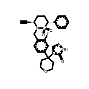 C#C[C@H]1CC[C@H](c2ccccc2)S(=O)(=O)N1Cc1ccc(C2(n3cn[nH]c3=O)CCOCC2)cc1F